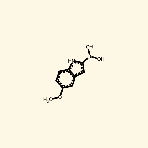 COc1ccc2[nH]c(B(O)O)cc2c1